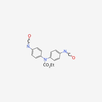 CCOC(=O)N(c1ccc(N=C=O)cc1)c1ccc(N=C=O)cc1